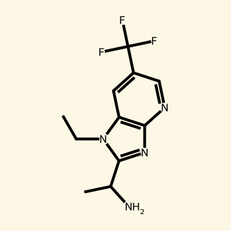 CCn1c(C(C)N)nc2ncc(C(F)(F)F)cc21